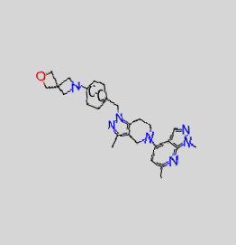 Cc1cc(N2CCc3c(c(C)nn3CC34CCC(N5CC6(COC6)C5)(CC3)CC4)C2)c2cnn(C)c2n1